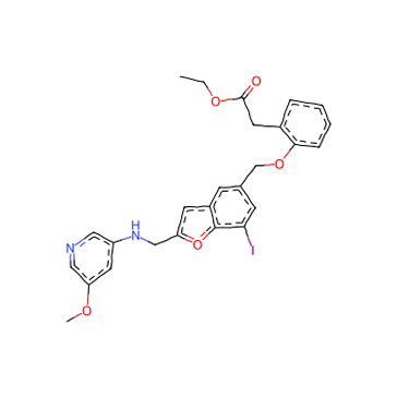 CCOC(=O)Cc1ccccc1OCc1cc(I)c2oc(CNc3cncc(OC)c3)cc2c1